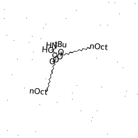 CCCCCCCCC=CCCCCCCC=CCCCC(=O)Oc1ccc(C(O)CNC(C)(C)C)cc1OC(=O)CCCC=CCCCCCCC=CCCCCCCCC